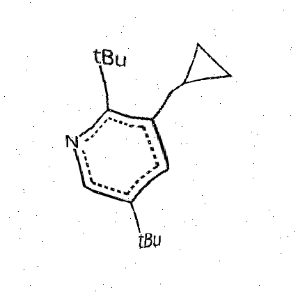 CC(C)(C)c1cnc(C(C)(C)C)c(C2CC2)c1